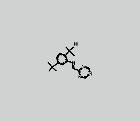 CC(C)(C)c1ccc(C(C)(C)C)c(N=Cc2ncncn2)c1.[Ni]